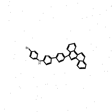 Brc1ccc(Nc2ccc(-c3ccc(-c4cc5c6ccccc6ccc5c5ccccc45)cc3)cc2)cc1